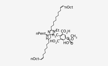 CCCCCCCC/C=C\CCCCCCCCC1=NC(CCCCCCCC/C=C\CCCCCCCC)(NCCCCC)CN1CC.COS(=O)(=O)O.Cc1c(C(=O)O)cccc1C(=O)O